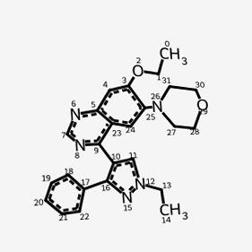 CCOc1cc2ncnc(-c3cn(CC)nc3-c3ccccc3)c2cc1N1CCOCC1